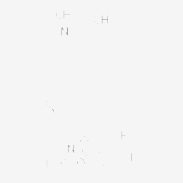 C=CCN(C)CCCCCCO[C@H]1CC[C@H](N(C)S(=O)(=O)c2ccc(F)c(F)c2)CC1